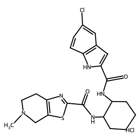 CN1CCc2nc(C(=O)NC3CCCCC3NC(=O)c3cc4cc(Cl)ccc4[nH]3)sc2C1.Cl